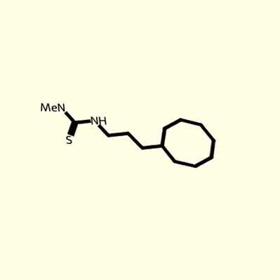 CNC(=S)NCCCC1CCCCCCC1